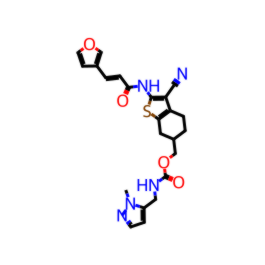 Cn1nccc1CNC(=O)OCC1CCc2c(sc(NC(=O)C=Cc3ccoc3)c2C#N)C1